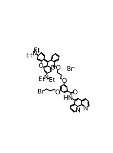 CCN(CC)c1ccc2c(-c3ccccc3C(=O)OCCCOc3cc(OCCCBr)cc(C(=O)Nc4cc5cccnc5c5ncccc45)c3)c3ccc(=[N+](CC)CC)cc-3oc2c1.[Br-]